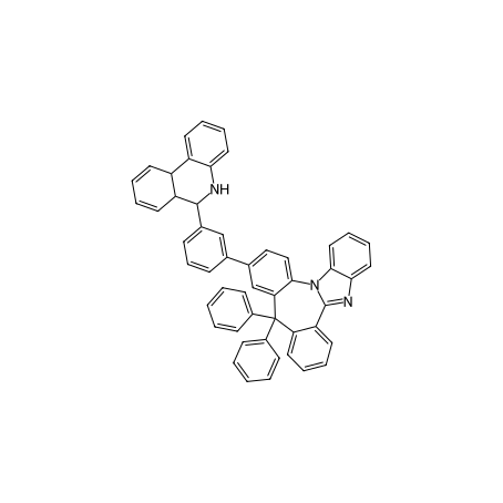 C1=CC2c3ccccc3NC(c3cccc(-c4ccc5c(c4)C(c4ccccc4)(c4ccccc4)c4ccccc4-c4nc6ccccc6n4-5)c3)C2C=C1